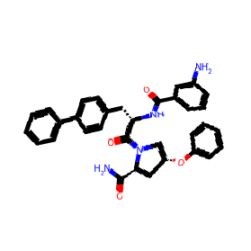 NC(=O)[C@@H]1C[C@@H](Oc2ccccc2)CN1C(=O)[C@H](Cc1ccc(-c2ccccc2)cc1)NC(=O)c1cccc(N)c1